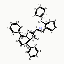 Cn1c(/C=N/c2ccccc2Sc2ccccc2)nc2c(-c3ccccc3)ccc(-c3ccccc3)c21